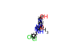 Cc1c(NCCc2ccc(Cl)c(Cl)c2)ncnc1C(=O)N1CCC(N2CC[C@@H](O)C2)CC1